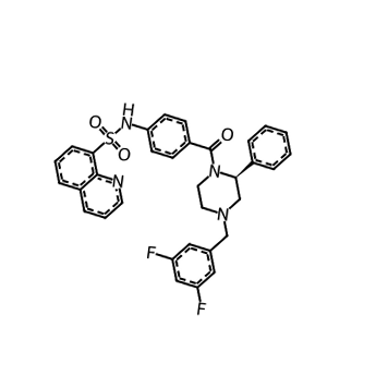 O=C(c1ccc(NS(=O)(=O)c2cccc3cccnc23)cc1)N1CCN(Cc2cc(F)cc(F)c2)C[C@@H]1c1ccccc1